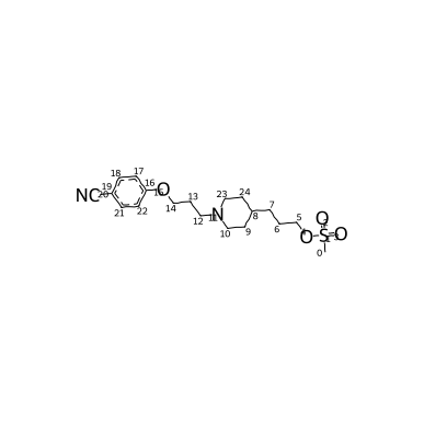 CS(=O)(=O)OCCCC1CCN(CCCOc2ccc(C#N)cc2)CC1